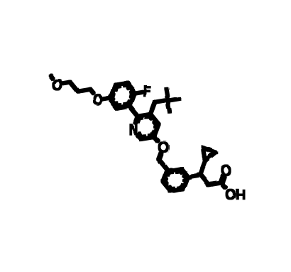 COCCCOc1ccc(F)c(-c2ncc(OCc3cccc(C(CC(=O)O)C4CC4)c3)cc2CC(C)(C)C)c1